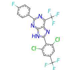 Fc1ccc(-c2nc(C(F)(F)F)c3nc(-c4c(Cl)cc(C(F)(F)F)cc4Cl)[nH]c3n2)cc1